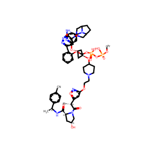 CCCOP(=O)(O)OP(=O)(O)OCOc1ccccc1-c1cc(N2CC3CCC(C2)N3c2ccnc(O[C@H]3C[C@H](OC4CCN(CCOc5cc([C@H](C(=O)N6C[C@H](O)C[C@H]6C(=O)N[C@@H](C)c6ccc(C#N)cc6)C(C)C)on5)CC4)C3)c2)c(N)nn1